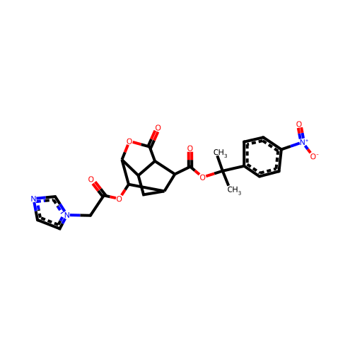 CC(C)(OC(=O)C1C2CC3C(OC(=O)C31)C2OC(=O)Cn1ccnc1)c1ccc([N+](=O)[O-])cc1